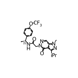 CC(C)c1nn(C)c2cnn(CC(=O)N[C@@H](C)c3ccc(OC(F)(F)F)cc3)c(=O)c12